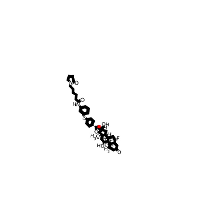 C[C@]12C=CC(=O)C=C1[C@@H](F)C[C@H]1[C@@H]3C[C@H]4O[C@@H](c5ccc(Sc6cccc(NC(=O)CCCCCN7CC=CC7=O)c6)cc5)O[C@@]4(C(=O)CO)[C@@]3(C)C[C@H](O)[C@@]12F